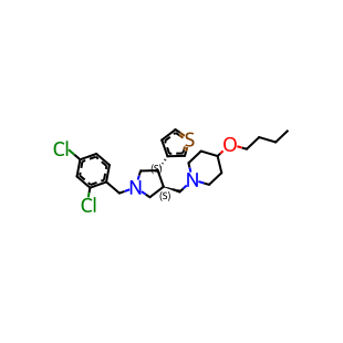 CCCCOC1CCN(C[C@H]2CN(Cc3ccc(Cl)cc3Cl)C[C@@H]2c2ccsc2)CC1